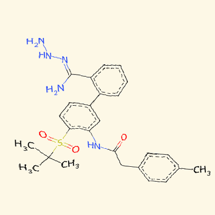 Cc1ccc(CC(=O)Nc2cc(-c3ccccc3/C(N)=N/NN)ccc2S(=O)(=O)C(C)(C)C)cc1